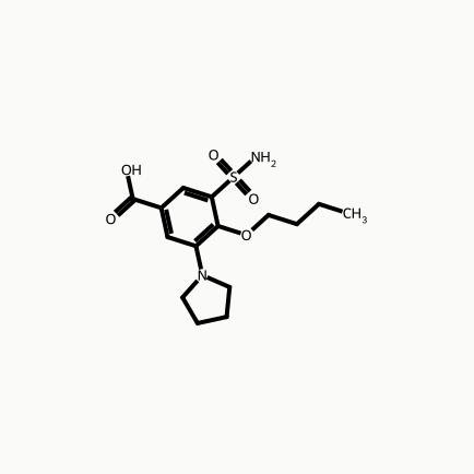 CCCCOc1c(N2CCCC2)cc(C(=O)O)cc1S(N)(=O)=O